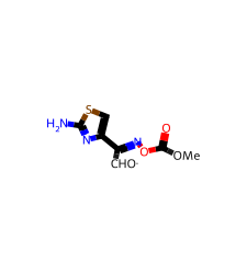 COC(=O)ON=C([C]=O)c1csc(N)n1